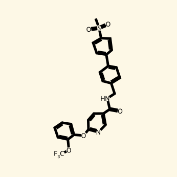 CS(=O)(=O)c1ccc(-c2ccc(CNC(=O)c3ccc(Oc4ccccc4OC(F)(F)F)nc3)cc2)cc1